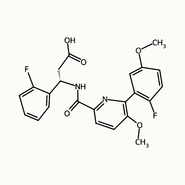 COc1ccc(F)c(-c2nc(C(=O)N[C@@H](CC(=O)O)c3ccccc3F)ccc2OC)c1